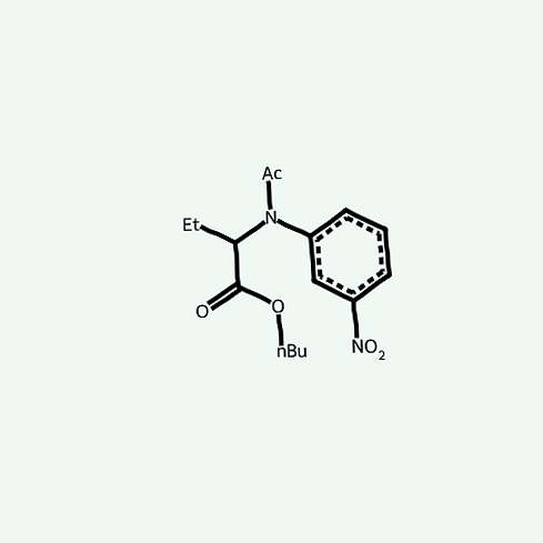 CCCCOC(=O)C(CC)N(C(C)=O)c1cccc([N+](=O)[O-])c1